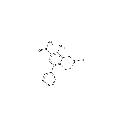 CN1CCc2c(-c3ccccc3)cc(C(N)=O)c(N)c2C1